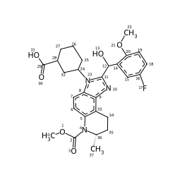 COC(=O)N1c2ccc3c(nc(C(O)c4cc(F)ccc4OC)n3C3CCCC(C(=O)O)C3)c2CC[C@@H]1C